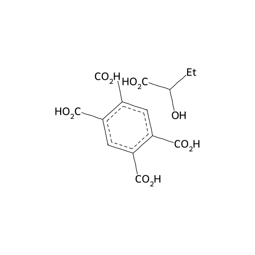 CCC(O)C(=O)O.O=C(O)c1cc(C(=O)O)c(C(=O)O)cc1C(=O)O